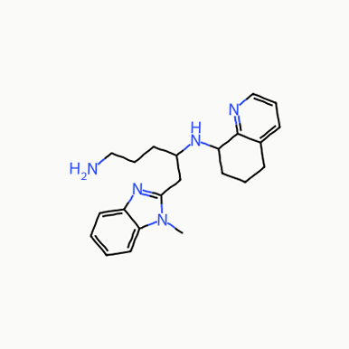 Cn1c(CC(CCCN)NC2CCCc3cccnc32)nc2ccccc21